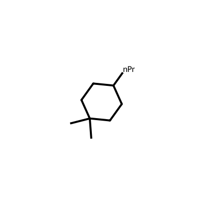 CCCC1CCC(C)(C)CC1